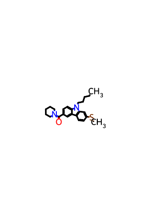 CCCCCn1c2ccc(C(=O)N3CCCCC3)cc2c2ccc(SC)cc21